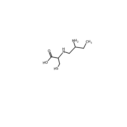 CCC(N)CNC(CS)C(=O)O